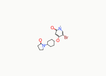 Cn1cc(Br)c(O[C@H]2CC[C@H](N3CCCC3=O)CC2)cc1=O